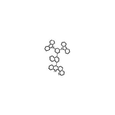 c1cnc2c(c1)ccc1c(-c3ccc(-c4cc(-n5c6ccccc6c6ccccc65)cc(-n5c6ccccc6c6ccccc65)c4)c4ccccc34)c3ccccc3nc12